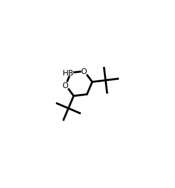 CC(C)(C)C1CC(C(C)(C)C)OBO1